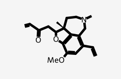 C=CC(=O)CC1Oc2c(OC)cc(C=C)c3c2[C@@]1(C)CCN(C)C3